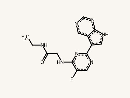 O=C(CNc1nc(-c2c[nH]c3ncncc23)ncc1F)NCC(F)(F)F